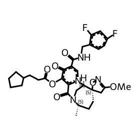 COC1=NO[C@@]2(CC[C@H](C)N3C[C@H]2n2cc(C(=O)NCc4ccc(F)cc4F)c(=O)c(OC(=O)CCC4CCCC4)c2C3=O)C1